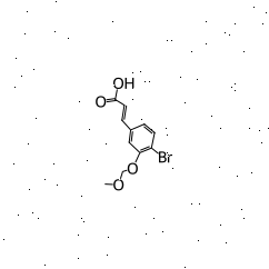 COCOc1cc(/C=C/C(=O)O)ccc1Br